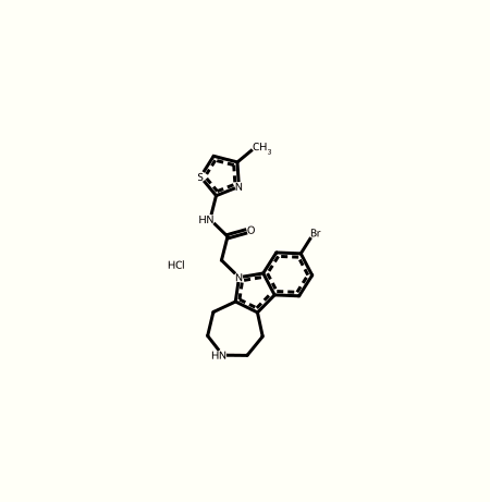 Cc1csc(NC(=O)Cn2c3c(c4ccc(Br)cc42)CCNCC3)n1.Cl